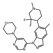 Cc1cc2cnn(-c3cc(N4CCOCC4)ncn3)c2cc1C1CCN(C)CC1(F)F